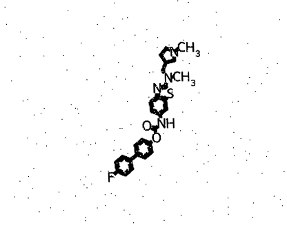 CN1CCC(CN(C)c2nc3ccc(NC(=O)Oc4ccc(-c5ccc(F)cc5)cc4)cc3s2)C1